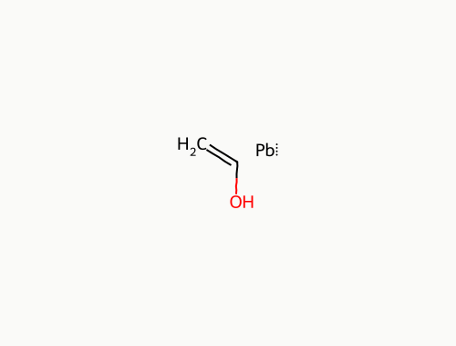 C=CO.[Pb]